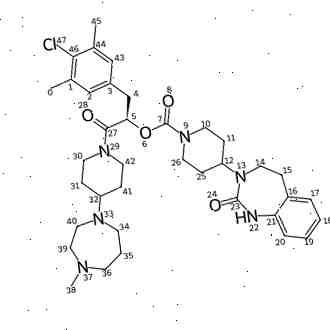 Cc1cc(C[C@@H](OC(=O)N2CCC(N3CCc4ccccc4NC3=O)CC2)C(=O)N2CCC(N3CCCN(C)CC3)CC2)cc(C)c1Cl